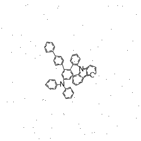 c1ccc(-c2ccc(-c3cc(N(c4ccccc4)c4ccccc4)ccc3-c3ccccc3-n3c4ccccc4c4ccccc43)cc2)cc1